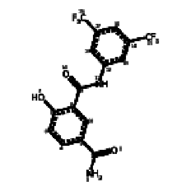 NC(=O)c1ccc(O)c(C(=O)Nc2cc(C(F)(F)F)cc(C(F)(F)F)c2)c1